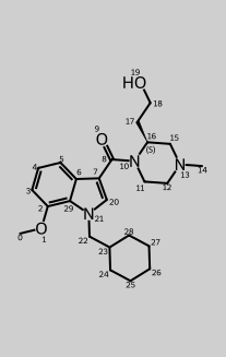 COc1cccc2c(C(=O)N3CCN(C)C[C@@H]3CCO)cn(CC3CCCCC3)c12